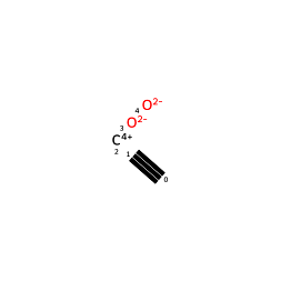 C#C.[C+4].[O-2].[O-2]